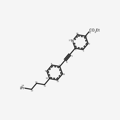 CCOC(=O)c1ccc(C#Cc2ccc(CCCC(C)C)cc2)nc1